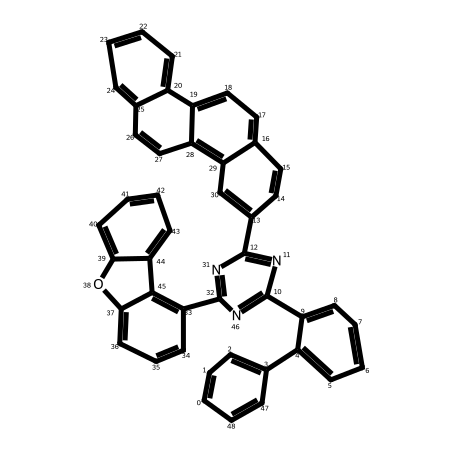 c1ccc(-c2ccccc2-c2nc(-c3ccc4ccc5c6ccccc6ccc5c4c3)nc(-c3cccc4oc5ccccc5c34)n2)cc1